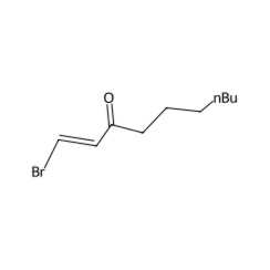 CCCCCCCC(=O)C=CBr